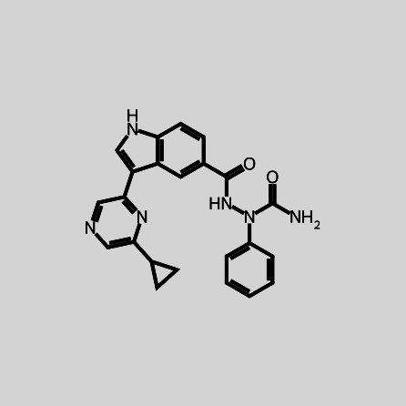 NC(=O)N(NC(=O)c1ccc2[nH]cc(-c3cncc(C4CC4)n3)c2c1)c1ccccc1